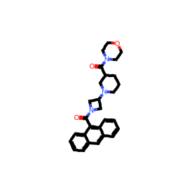 O=C(c1c2ccccc2cc2ccccc12)N1CC(N2CCCC(C(=O)N3CCOCC3)C2)C1